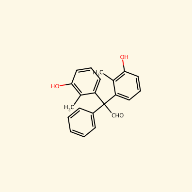 Cc1c(O)cccc1C(C=O)(c1ccccc1)c1cccc(O)c1C